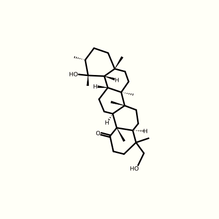 C[C@@H]1CC[C@]2(C)CC[C@]3(C)[C@H](CC[C@@H]4[C@@]5(C)C(=O)CCC(C)(CO)[C@@H]5CC[C@]43C)[C@@H]2[C@]1(C)O